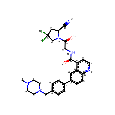 CN1CCN(Cc2ccc(-c3ccc4nccc(C(=O)NCC(=O)N5CC(F)(F)CC5C#N)c4c3)cc2)CC1